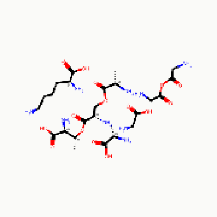 C[C@H](N)C(=O)O.C[C@H](N)C(=O)OC[C@H](N)C(=O)O[C@H](C)[C@H](N)C(=O)O.NCC(=O)O.NCC(=O)OC(=O)CN.NCCCC[C@H](N)C(=O)O